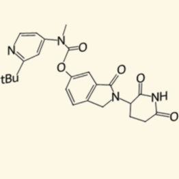 CN(C(=O)Oc1ccc2c(c1)C(=O)N(C1CCC(=O)NC1=O)C2)c1ccnc(C(C)(C)C)c1